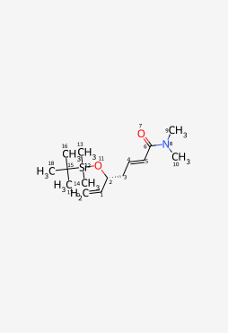 C=C[C@@H](C/C=C/C(=O)N(C)C)O[Si](C)(C)C(C)(C)C